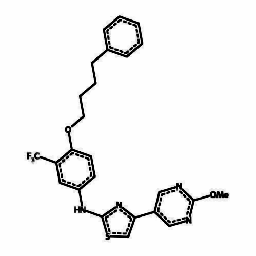 COc1ncc(-c2csc(Nc3ccc(OCCCCc4ccccc4)c(C(F)(F)F)c3)n2)cn1